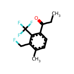 CCC(=O)c1ccc(C)c(CF)c1C(F)(F)F